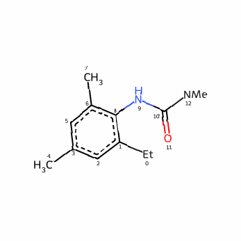 CCc1cc(C)cc(C)c1NC(=O)NC